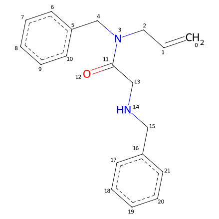 C=CCN(Cc1ccccc1)C(=O)CNCc1ccccc1